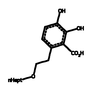 CCCCCCCOCCc1ccc(O)c(O)c1C(=O)O